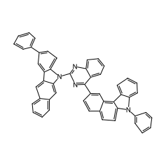 c1ccc(-c2ccc3c(c2)c2cc4ccccc4cc2n3-c2nc(-c3ccc4ccc5c(c4c3)c3ccccc3n5-c3ccccc3)c3ccccc3n2)cc1